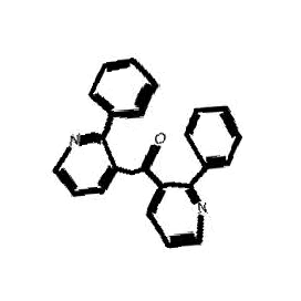 O=C(c1cccnc1-c1ccccc1)c1cccnc1-c1ccccc1